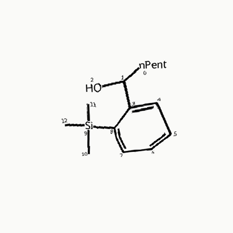 CCCCCC(O)c1ccccc1[Si](C)(C)C